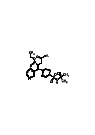 CCOC(=O)/C(CC(=O)O)=C(/c1ccc(S(=O)(=O)NC(C)(C)C)cc1)c1cccnc1